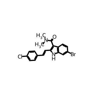 CN(C)C(=O)c1c(C=Cc2ccc(Cl)cc2)[nH]c2cc(Br)ccc12